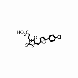 O=C(O)CCN1C(=O)/C(=C\c2ccc(-c3ccc(Cl)cc3)o2)SC1=S